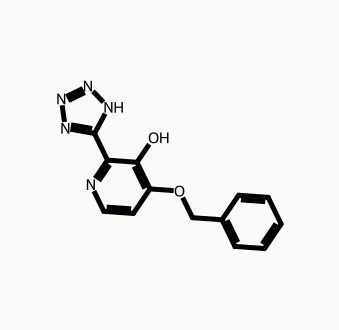 Oc1c(OCc2ccccc2)ccnc1-c1nnn[nH]1